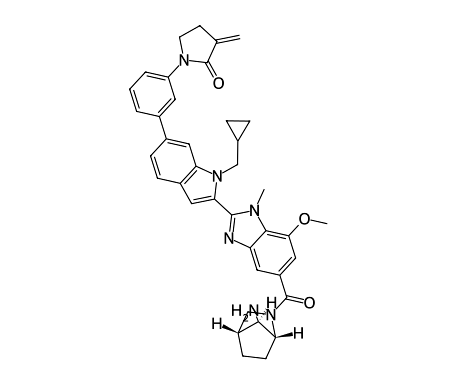 C=C1CCN(c2cccc(-c3ccc4cc(-c5nc6cc(C(=O)N7C[C@H]8CC[C@@H]7[C@@H]8N)cc(OC)c6n5C)n(CC5CC5)c4c3)c2)C1=O